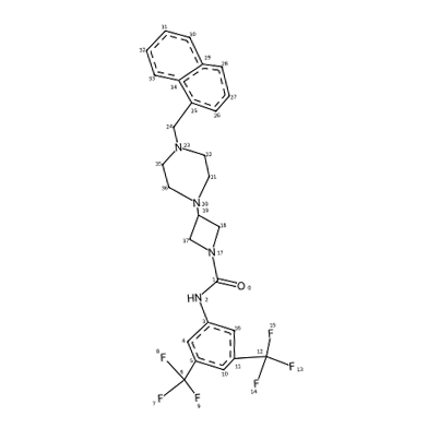 O=C(Nc1cc(C(F)(F)F)cc(C(F)(F)F)c1)N1CC(N2CCN(Cc3cccc4ccccc34)CC2)C1